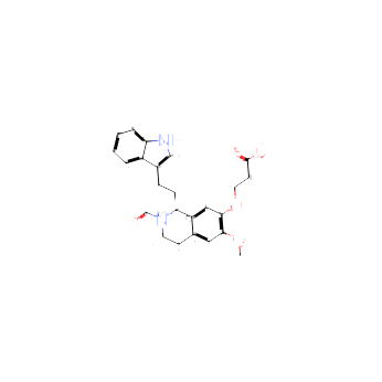 COc1cc2c(cc1OCCC(=O)O)[C@H](CCc1c[nH]c3ccccc13)N(C=O)CC2